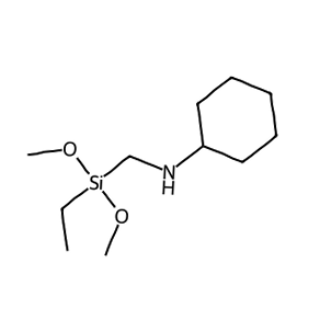 CC[Si](CNC1CCCCC1)(OC)OC